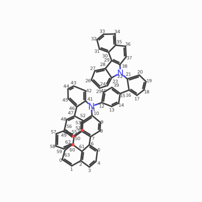 C1=Cc2cccc(-c3ccc(N(c4ccc(-c5ccccc5-n5c6ccccc6c6c7ccccc7ccc65)cc4)c4ccccc4-c4ccccc4)cc3-c3ccccc3)c2CC1